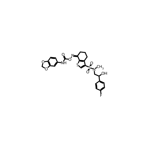 CN(CC(O)c1ccc(F)cc1)S(=O)(=O)c1csc2c1CCC/C2=N/OC(=O)Nc1ccc2c(c1)OCO2